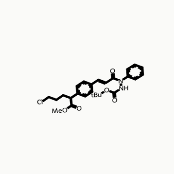 COC(=O)C(CCCCl)c1ccc(C=CC(=O)N(NC(=O)OC(C)(C)C)c2ccccc2)cc1